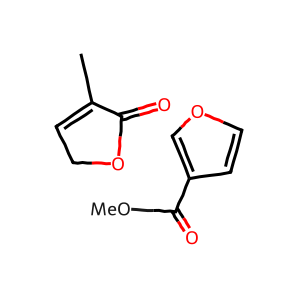 CC1=CCOC1=O.COC(=O)c1ccoc1